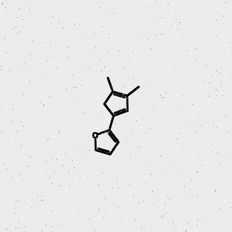 CC1=C(C)CC(c2ccco2)=C1